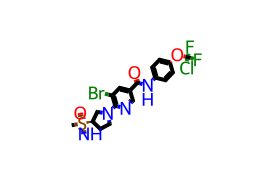 CS(=N)(=O)[C@@H]1CCN(c2ncc(C(=O)Nc3ccc(OC(F)(F)Cl)cc3)cc2Br)C1